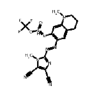 CN1CCCc2cc(N=Nc3nc(C#N)c(C#N)n3C)c(N=[SH](=O)OC(F)(F)F)cc21